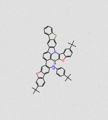 CC(C)(C)c1ccc(Nc2cc3c(cc2-c2ccc4c5cc6c(cc5n5c4c2Bc2oc4ccc(C(C)(C)C)cc4c2-5)sc2ccccc26)oc2cc(C(C)(C)C)ccc23)cc1